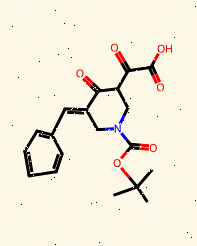 CC(C)(C)OC(=O)N1C/C(=C\c2ccccc2)C(=O)C(C(=O)C(=O)O)C1